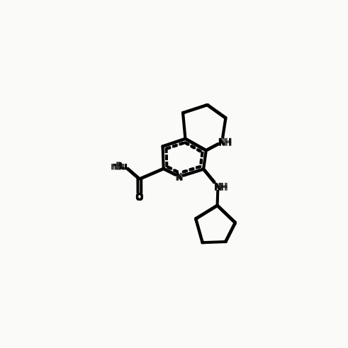 CCCCC(=O)c1cc2c(c(NC3CCCC3)n1)NCCC2